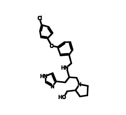 OCC1CCCN1CC(Cc1c[nH]cn1)NCc1cccc(Oc2ccc(Cl)cc2)c1